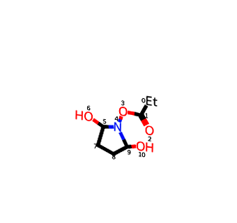 CCC(=O)ON1C(O)CCC1O